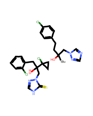 CC(C)(C)C(O)(CCc1ccc(Cl)cc1)Cn1cncn1.OC(Cc1ccccc1Cl)(Cn1nc[nH]c1=S)C1(Cl)CC1